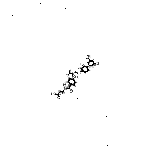 CC(C)[C@@H](COc1ccc(-c2cc(Cl)cc(Cl)c2)c(F)c1)Nc1ccc(C(=O)NCCC(=O)O)cc1